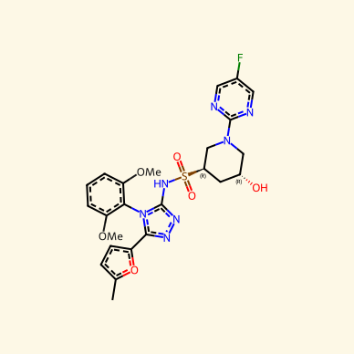 COc1cccc(OC)c1-n1c(NS(=O)(=O)[C@@H]2C[C@@H](O)CN(c3ncc(F)cn3)C2)nnc1-c1ccc(C)o1